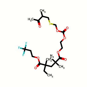 CCC(C)(CC(C)(C)C(=O)OCCOC(=O)OCSCC(C)C(C)=O)C(=O)OCCC(F)(F)F